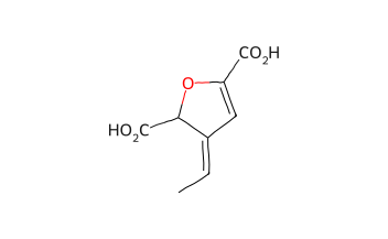 CC=C1C=C(C(=O)O)OC1C(=O)O